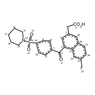 O=C(O)Cc1cc(C(=O)c2ccc(S(=O)(=O)N3CCCCC3)cc2)c2cc(F)ccc2c1